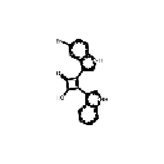 O=C1C(c2c[nH]c3ccc(Br)cc23)=C(c2c[nH]c3ccccc23)C1O